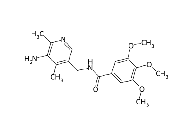 COc1cc(C(=O)NCc2cnc(C)c(N)c2C)cc(OC)c1OC